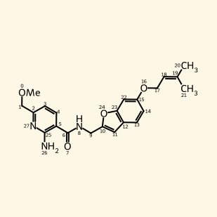 COCc1ccc(C(=O)NCc2cc3ccc(OCC=C(C)C)cc3o2)c(N)n1